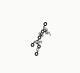 NC(=O)c1cc(S(=O)(=O)c2ccc(CCN(Cc3ccccc3)C[C@@H](O)c3cccc(OCc4ccccc4)c3)cc2)ccc1OCc1ccccc1